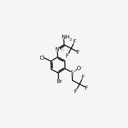 N/C(=N/c1cc([S+]([O-])CC(F)(F)F)c(Br)cc1Cl)C(F)(F)F